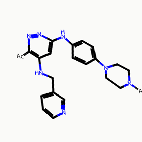 CC(=O)c1nnc(Nc2ccc(N3CCN(C(C)=O)CC3)cc2)cc1NCc1cccnc1